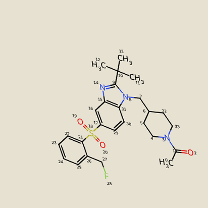 CC(=O)N1CCC(Cn2c(C(C)(C)C)nc3cc(S(=O)(=O)c4ccccc4CF)ccc32)CC1